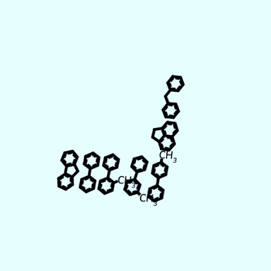 Cc1ccc(-c2ccccc2)cc1.Cc1cccc(-c2ccccc2)c1.Cc1ccccc1-c1ccccc1.c1cc2c3c(cccc3c1)CC2.c1ccc(-c2ccccc2)cc1.c1ccc(Cc2ccccc2)cc1.c1ccc2c(c1)Cc1ccccc1-2